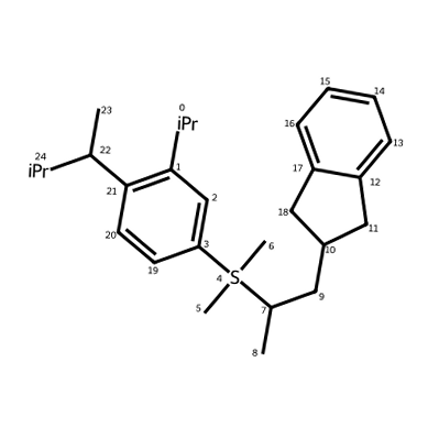 CC(C)c1cc(S(C)(C)C(C)CC2Cc3ccccc3C2)ccc1C(C)C(C)C